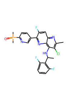 Cc1nc2cc(F)c(-c3ccc(P(C)(C)=O)nc3)nc2c(NC(C)c2c(F)cccc2F)c1Cl